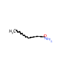 CCCCCCCCCCCC#CC#CC#CC#CC(N)=O